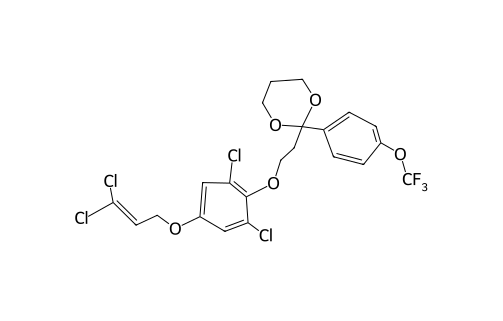 FC(F)(F)Oc1ccc(C2(CCOc3c(Cl)cc(OCC=C(Cl)Cl)cc3Cl)OCCCO2)cc1